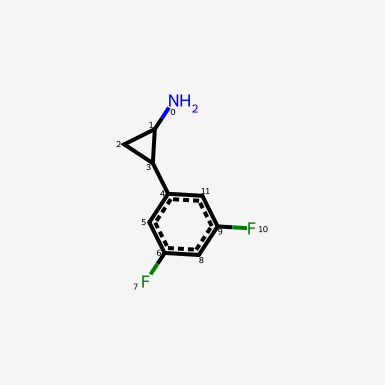 NC1CC1c1cc(F)cc(F)c1